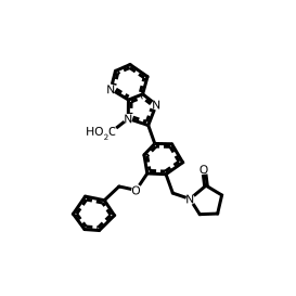 O=C1CCCN1Cc1ccc(-c2nc3cccnc3n2C(=O)O)cc1OCc1ccccc1